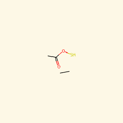 CC.CC(=O)OS